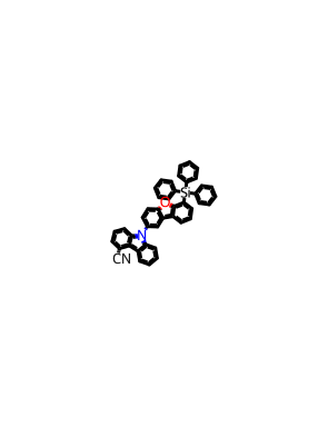 N#Cc1cccc2c1c1ccccc1n2-c1ccc2oc3c([Si](c4ccccc4)(c4ccccc4)c4ccccc4)cccc3c2c1